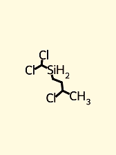 CC(Cl)CC[SiH2]C(Cl)Cl